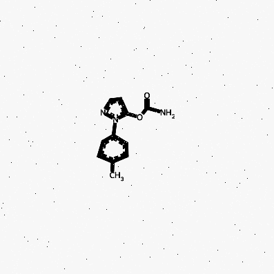 Cc1ccc(-n2nccc2OC(N)=O)cc1